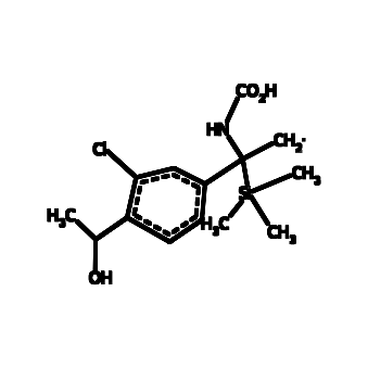 [CH2]C(NC(=O)O)(c1ccc(C(C)O)c(Cl)c1)[Si](C)(C)C